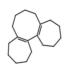 [CH]1CCCCC2=C1C1=C(CCCCC1)CCCC2